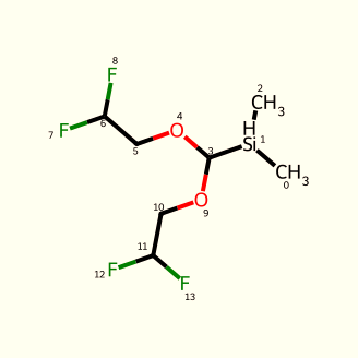 C[SiH](C)C(OCC(F)F)OCC(F)F